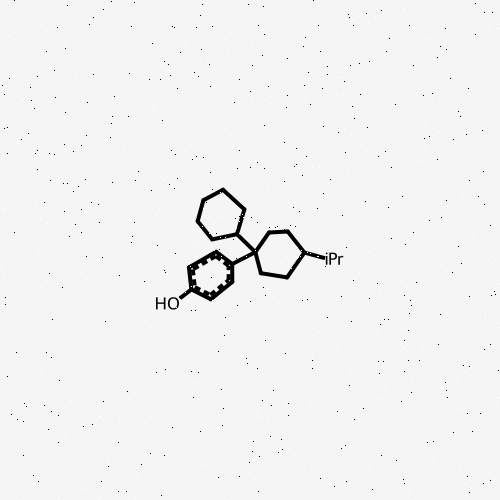 CC(C)C1CCC(c2ccc(O)cc2)(C2CCCCC2)CC1